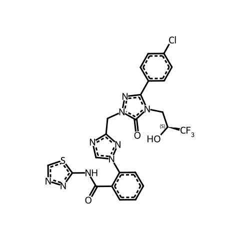 O=C(Nc1nncs1)c1ccccc1-n1cnc(Cn2nc(-c3ccc(Cl)cc3)n(C[C@H](O)C(F)(F)F)c2=O)n1